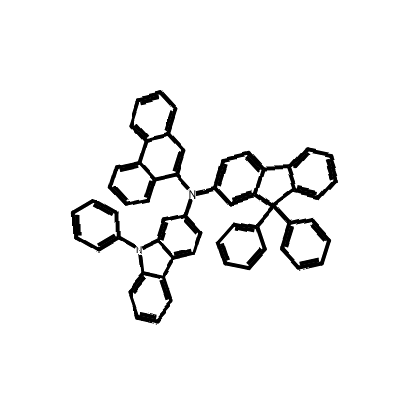 c1ccc(-n2c3ccccc3c3ccc(N(c4ccc5c(c4)C(c4ccccc4)(c4ccccc4)c4ccccc4-5)c4cc5ccccc5c5ccccc45)cc32)cc1